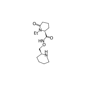 CCN1C(=O)CCC[C@H]1C(=O)NOC[C@@H]1CCCCN1